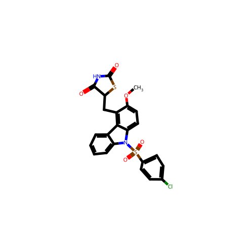 COc1ccc2c(c1CC1SC(=O)NC1=O)c1ccccc1n2S(=O)(=O)c1ccc(Cl)cc1